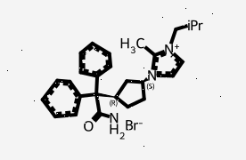 Cc1n([C@H]2CC[C@@H](C(C(N)=O)(c3ccccc3)c3ccccc3)C2)cc[n+]1CC(C)C.[Br-]